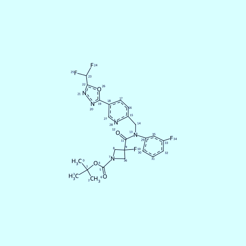 CC(C)(C)OC(=O)N1CC(F)(C(=O)N(Cc2ccc(-c3nnc(C(F)F)o3)cn2)c2cccc(F)c2)C1